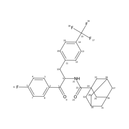 O=C(c1ccc(F)cc1)C(Cc1ccc(C(F)(F)F)cc1)NC(=O)C12CC3CC(CC(C3)C1)C2